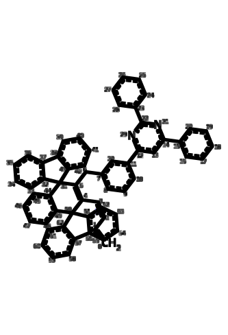 C=C/C=C\C1=C(Cc2cccc(-c3cc(-c4ccccc4)nc(-c4ccccc4)n3)c2)C2(c3ccccc3-c3ccccc32)c2ccccc2C12c1ccccc1-c1ccccc12